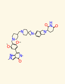 COc1cc(-c2cn(C)c(=O)c3cn(C)nc23)cc(OC)c1CN1CCC(CN2CCC3(CC2)CN(c2ccc4c(c2)CN(C2CCC(=O)NC2=O)C4)C3)CC1